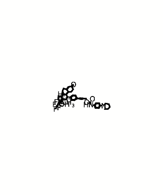 C[C@]12C[C@H](c3ccc(C#CCOC(=O)Nc4ccc(N5CCCCC5)cc4)cc3)C3=C4CCC(=O)C=C4CC[C@H]3[C@@H]1CC[C@@]2(O)C(F)(F)C(F)(F)F